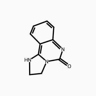 O=c1nc2ccccc2c2n1CCN2